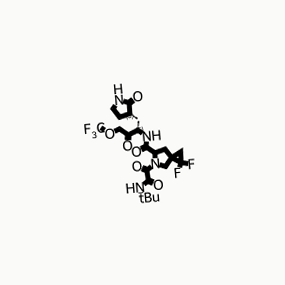 CC(C)(C)NC(=O)C(=O)N1CC2(CC1C(=O)N[C@@H](C[C@@H]1CCNC1=O)C(=O)COC(F)(F)F)CC2(F)F